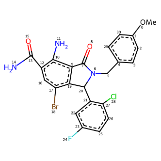 COc1ccc(CN2C(=O)c3c(N)c(C(N)=O)cc(Br)c3C2c2cc(F)ccc2Cl)cc1